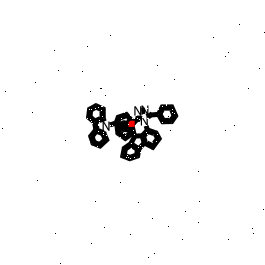 c1ccc(-c2nnc(-c3ccccc3)n2-c2cccc3c2C(c2cccc(-n4c5ccccc5c5ccccc54)c2)c2ccccc2-3)cc1